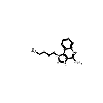 Nc1nc2ccccc2c2c1ncn2CCCCO